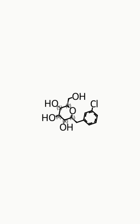 OC[C@H]1O[C@@H](Cc2cccc(Cl)c2)[C@H](O)[C@@H](O)[C@@H]1O